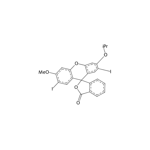 COc1cc2c(cc1I)C1(OC(=O)c3ccccc31)c1cc(I)c(OC(C)C)cc1O2